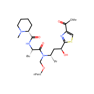 CCCCCOCN(C(=O)C(NC(=O)[C@H]1CCCCN1C)[C@@H](C)CC)[C@H](C[C@H](O)c1nc(C(=O)OC)cs1)C(C)C